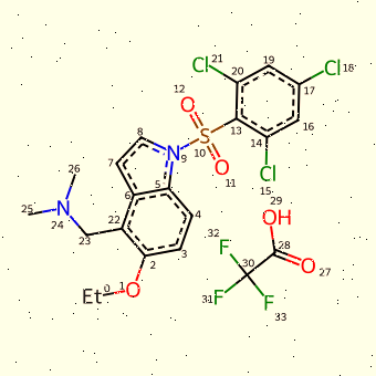 CCOc1ccc2c(ccn2S(=O)(=O)c2c(Cl)cc(Cl)cc2Cl)c1CN(C)C.O=C(O)C(F)(F)F